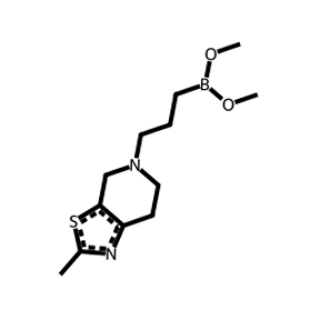 COB(CCCN1CCc2nc(C)sc2C1)OC